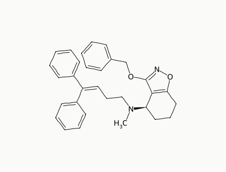 CN(CCC=C(c1ccccc1)c1ccccc1)[C@@H]1CCCc2onc(OCc3ccccc3)c21